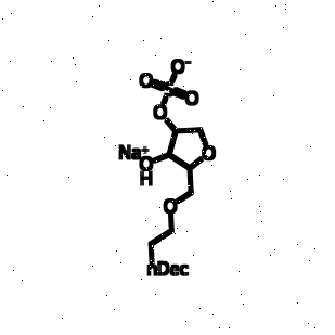 CCCCCCCCCCCCOCC1OCC(OS(=O)(=O)[O-])C1O.[Na+]